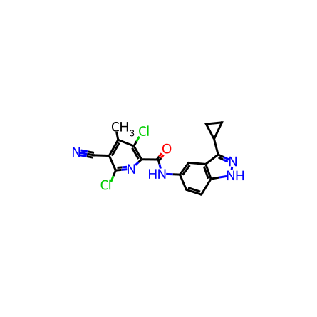 Cc1c(Cl)c(C(=O)Nc2ccc3[nH]nc(C4CC4)c3c2)nc(Cl)c1C#N